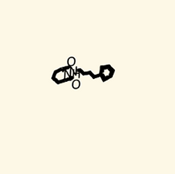 O=C1C2CCCC(N2)C(=O)N1CCCCc1ccccc1